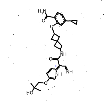 CC(C)(O)COC1=CN/C(=C(\C=N)C(=O)NC2CC3(C2)CC(Oc2cc(C4CC4)ccc2C(N)=O)C3)C=C1